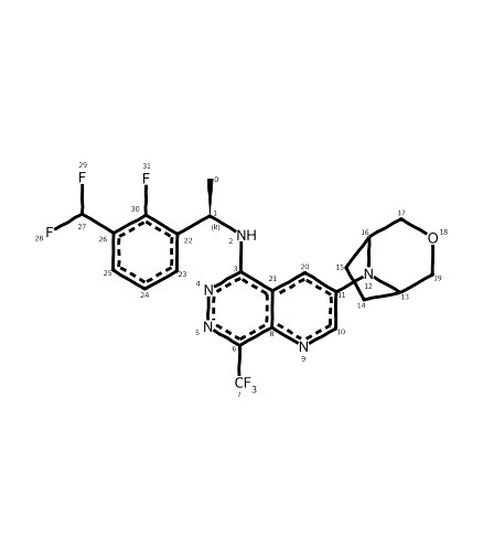 C[C@@H](Nc1nnc(C(F)(F)F)c2ncc(N3C4CCC3COC4)cc12)c1cccc(C(F)F)c1F